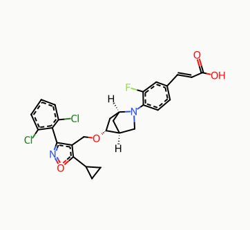 O=C(O)/C=C/c1ccc(N2C[C@@H]3C[C@H]2C[C@H]3OCc2c(-c3c(Cl)cccc3Cl)noc2C2CC2)c(F)c1